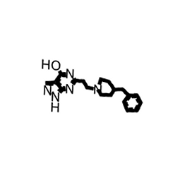 Oc1nc(CCN2CCC(Cc3ccccc3)CC2)nc2[nH]ncc12